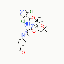 CC[Si](CC)(CC)OC(CN(C[C@@H]1CCC(C)(C)O1)C(=O)/C(C=N)=C(\C)N[C@H]1CC[C@H](C(C)=O)CC1)c1c(Cl)cncc1Cl